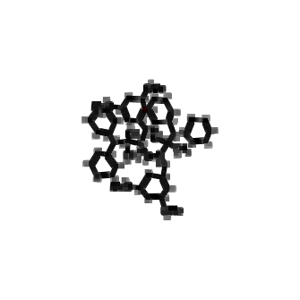 COc1cc(C[SiH](O[SiH](Cc2cc(OC)cc(OC)c2)C(C)(C)C(c2ccccc2)c2ccccc2)C(C)(C)C(c2ccccc2)c2ccccc2)cc(OC)c1